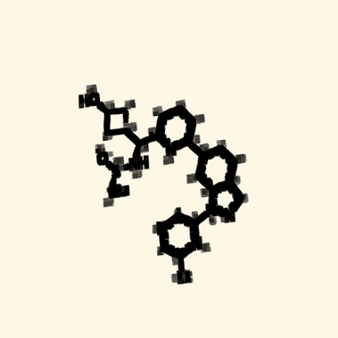 CCc1cncc(-n2ncc3ccc(-c4cccc([C@@H](N[S@+]([O-])C(C)(C)C)[C@H]5C[C@H](O)C5)n4)cc32)n1